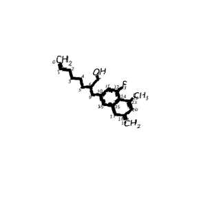 C=CCCCCC(CO)Cc1cc(F)c2c(c1)CC(=C)C=C2C